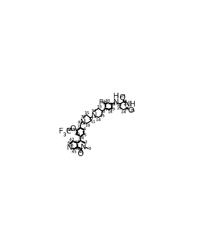 Cn1cc(-c2ccc(CN3CCC(N4CCC(c5ccc(NC6CCC(=O)NC6=O)cc5F)CC4)CC3)c(OC(F)(F)F)c2)c2ccncc2c1=O